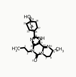 CCCN1C(=O)N2CC[C@@H](C)N=C2c2[nH]c(C34CCC(O)(CC3)CC4)nc21